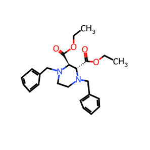 CCOC(=O)[C@H]1[C@H](C(=O)OCC)N(Cc2ccccc2)CCN1Cc1ccccc1